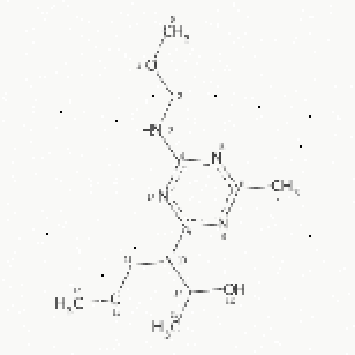 COCNc1nc(C)nc(N(COC)C(C)O)n1